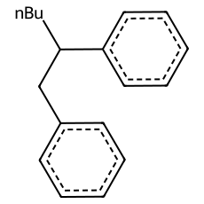 CCCCC(Cc1ccccc1)c1ccccc1